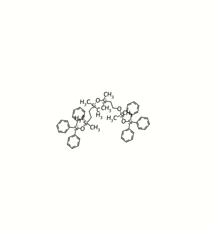 C[Si](C)(CCO[Si](C)(C)O[Si](c1ccccc1)(c1ccccc1)c1ccccc1)O[Si](C)(C)CC[Si](C)(C)O[Si](c1ccccc1)(c1ccccc1)c1ccccc1